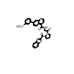 O=C(O)c1cccc(-c2ccc3c(C(=O)NCC(=O)N4CCC[C@H]4C(=O)c4nc5ccccc5o4)ccnc3c2)c1